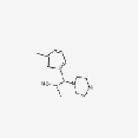 Cc1cccc(C(C(C)O)N2CCNCC2)c1